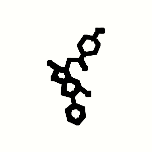 O=NN1CCN(C(=O)Cn2c(=O)sc3cc(-c4ccccc4)c(Cl)cc32)CC1